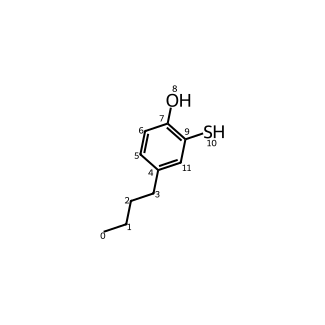 CCCCc1ccc(O)c(S)c1